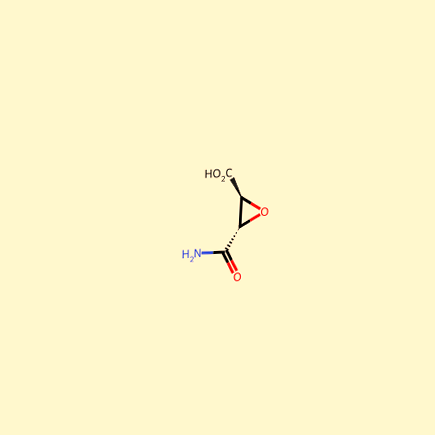 NC(=O)[C@H]1O[C@@H]1C(=O)O